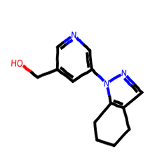 OCc1cncc(-n2ncc3c2CCCC3)c1